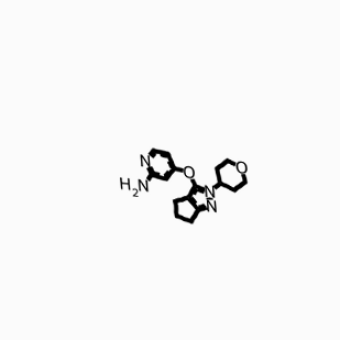 Nc1cc(Oc2c3c(nn2C2CCOCC2)CCC3)ccn1